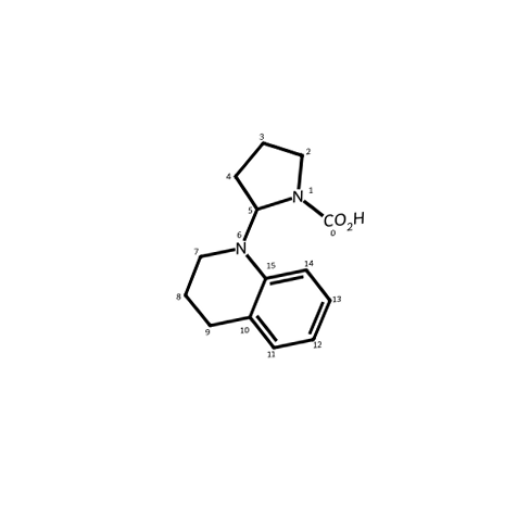 O=C(O)N1CCCC1N1CCCc2ccccc21